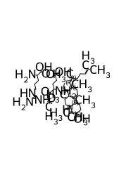 CC(C)=CCC[C@@H](C)[C@H]1CC[C@@]2(C)C3=C(CC[C@]12C)[C@@]1(C)CC[C@H](O)C(C)(C)[C@@H]1CC3.CCOC(=O)C(N)CCC(=O)O.N=C(N)NCCCC(N)C(=O)O